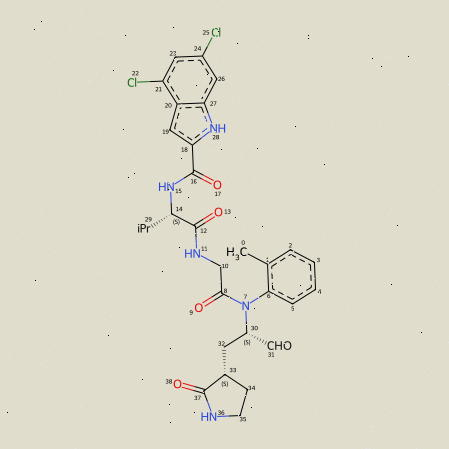 Cc1ccccc1N(C(=O)CNC(=O)[C@@H](NC(=O)c1cc2c(Cl)cc(Cl)cc2[nH]1)C(C)C)[C@H](C=O)C[C@@H]1CCNC1=O